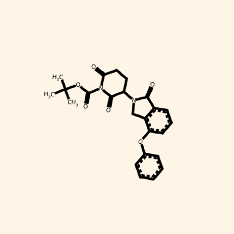 CC(C)(C)OC(=O)N1C(=O)CCC(N2Cc3c(Oc4ccccc4)cccc3C2=O)C1=O